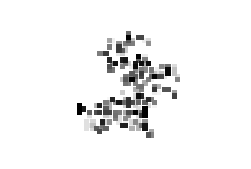 C[C@@H]1[C@@H]2CC(CN1C(=O)[C@@H](NC(=O)C1CCCN1C)C(C)(C)C)C2(C)C